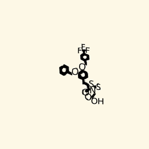 O=C(O)CN1C(=O)/C(=C/c2ccc(OCc3ccc(C(F)(F)F)cc3)c(OCc3ccccc3)c2)SC1=S